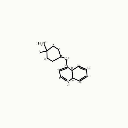 CC1(N)CCC(OC2=CC=NC3C=CC=CC23)CC1